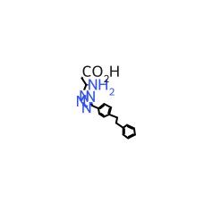 N[C@H](CC(=O)O)Cn1nnc(-c2ccc(CCc3ccccc3)cc2)n1